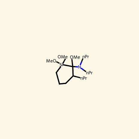 CCCC1CCC[Si](OC)(OC)C1(OC)N(CCC)CCC